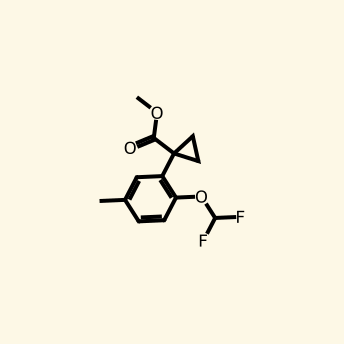 COC(=O)C1(c2cc(C)ccc2OC(F)F)CC1